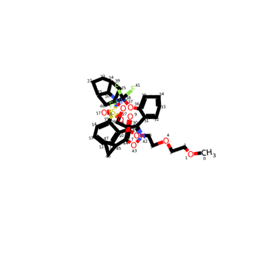 COCCOCCOC(=O)c1ccccc1S(=O)(=O)NC1C2CCC1CC(OCc1c(-c3ccccc3OC(F)(F)F)noc1C1CC1)C2